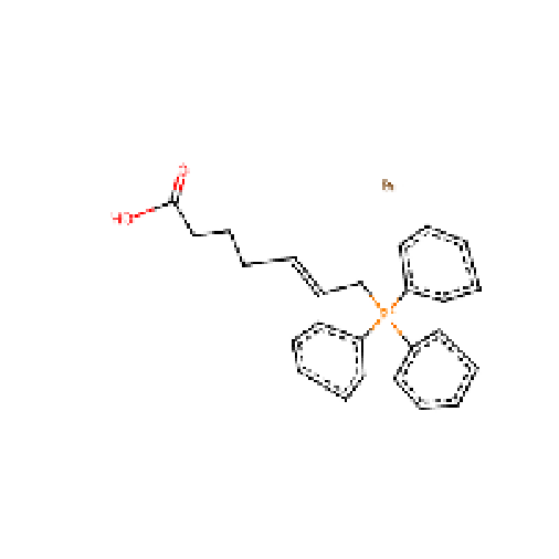 O=C(O)CCCC=CC[P+](c1ccccc1)(c1ccccc1)c1ccccc1.[Br-]